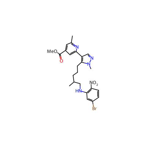 COC(=O)c1cc(C)nc(-c2cnn(C)c2CCCC(C)CNc2cc(Br)ccc2[N+](=O)[O-])c1